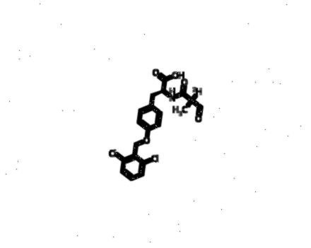 [2H]C(C)(C=O)C(=O)N[C@@H](Cc1ccc(OCc2c(Cl)cccc2Cl)cc1)C(=O)O